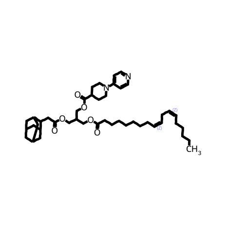 CCCCC/C=C\C/C=C\CCCCCCCC(=O)OCC(COC(=O)CC1C2CC3CC(C2)CC1C3)COC(=O)C1CCN(c2ccncc2)CC1